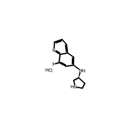 Cl.Fc1cc(N[C@H]2CCNC2)cc2cccnc12